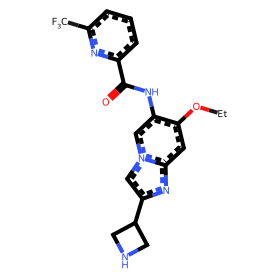 CCOc1cc2nc(C3CNC3)cn2cc1NC(=O)c1cccc(C(F)(F)F)n1